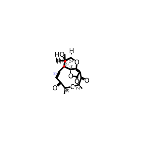 C[C@@H]1C[C@H](C)C(=O)C2=C3O[C@H]4[C@@H](C)C[C@]3(OC2=O)C(/C=C\C1=O)[C@@H]4O